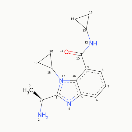 C[C@H](N)c1nc2cccc(C(=O)NC3CC3)c2n1C1CC1